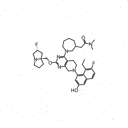 CCc1c(F)ccc2cc(O)cc(N3CCc4c(nc(OC[C@@]56CCCN5C[C@H](F)C6)nc4N4CCCCC(CC(=O)N(C)C)C4)C3)c12